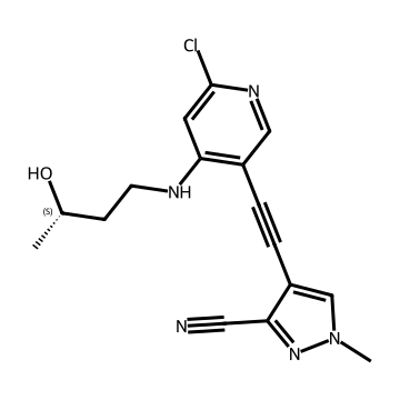 C[C@H](O)CCNc1cc(Cl)ncc1C#Cc1cn(C)nc1C#N